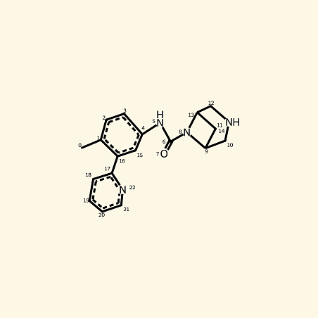 Cc1ccc(NC(=O)N2C3CNCC2C3)cc1-c1ccccn1